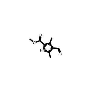 COC(=O)c1[nH]c(C)c(C=O)c1C